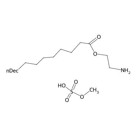 CCCCCCCCCCCCCCCCCC(=O)OCCN.COS(=O)(=O)O